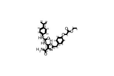 CCOC(=O)COc1ccc(Cc2nc(C(N)=O)c(NC(=O)Nc3ccc(C(C)C)cc3)[nH]2)cc1